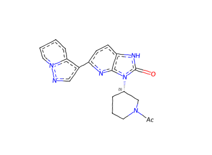 CC(=O)N1CCC[C@H](n2c(=O)[nH]c3ccc(-c4cnn5ccccc45)nc32)C1